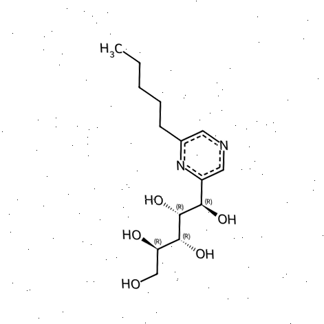 CCCCCc1cncc([C@@H](O)[C@@H](O)[C@H](O)[C@H](O)CO)n1